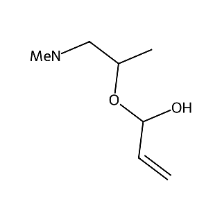 C=CC(O)OC(C)CNC